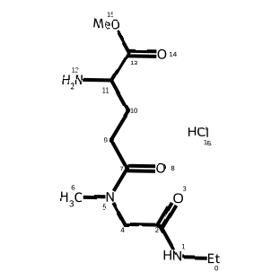 CCNC(=O)CN(C)C(=O)CCC(N)C(=O)OC.Cl